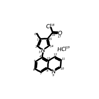 Cc1cn(-c2cccc3ncccc23)cc1C(=O)Cl.Cl